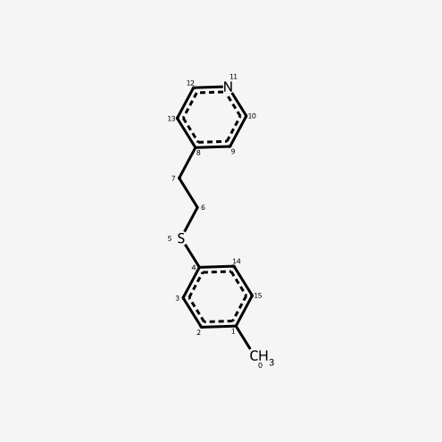 Cc1ccc(SCCc2ccncc2)cc1